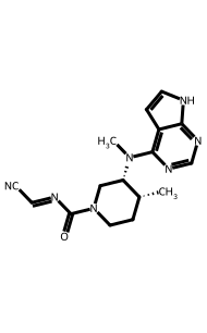 C[C@@H]1CCN(C(=O)N=CC#N)C[C@@H]1N(C)c1ncnc2[nH]ccc12